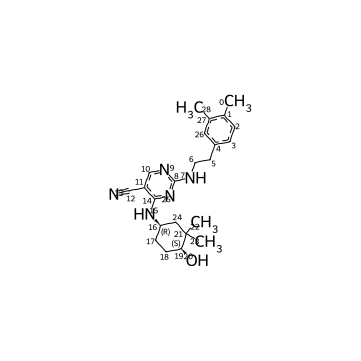 Cc1ccc(CCNc2ncc(C#N)c(N[C@@H]3CC[C@H](O)C(C)(C)C3)n2)cc1C